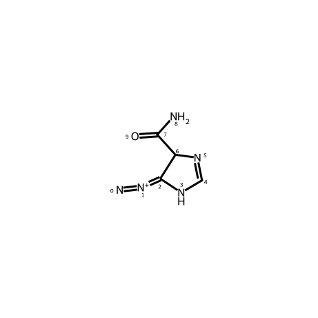 [N-]=[N+]=C1NC=NC1C(N)=O